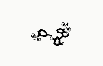 CS(=O)(=O)c1cccc(COc2ccc(F)c(-c3ccnc4c(S(C)(=O)=O)cccc34)c2)c1